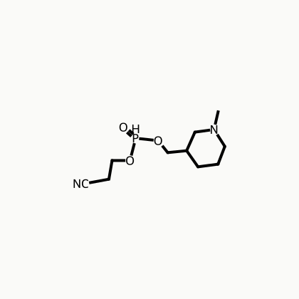 CN1CCCC(CO[PH](=O)OCCC#N)C1